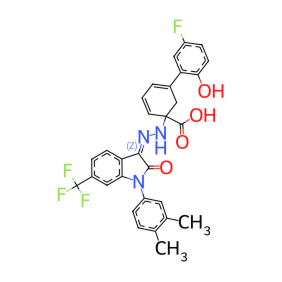 Cc1ccc(N2C(=O)/C(=N\NC3(C(=O)O)C=CC=C(c4cc(F)ccc4O)C3)c3ccc(C(F)(F)F)cc32)cc1C